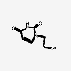 CC(C)(C)CCn1ccc(=O)[nH]c1=O